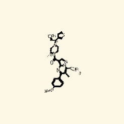 COc1ccc(-c2nc3c(C(=O)N4CCN([C@@H](CO)c5ccsc5)C[C@H]4C)cnn3c(C(F)(F)F)c2C)cc1